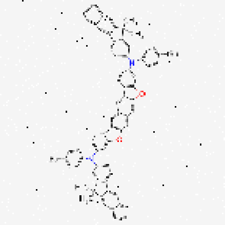 CC(C)(C)c1ccc(N(c2ccc3c(c2)C(C)(C)c2cc4ccccc4cc2-3)c2ccc3c(c2)oc2cc4cc5oc6cc(N(c7ccc(C(C)(C)C)cc7)c7ccc8c(c7)C(C)(C)c7cc9ccccc9cc7-8)ccc6c5cc4cc23)cc1